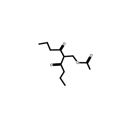 CCCC(=O)C(COC(C)=O)C(=O)CCC